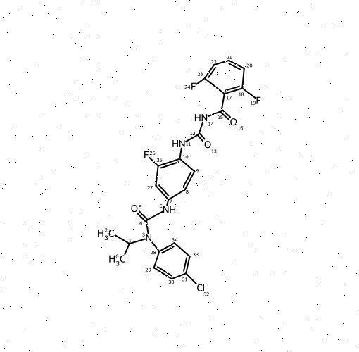 CC(C)N(C(=O)Nc1ccc(NC(=O)NC(=O)c2c(F)cccc2F)c(F)c1)c1ccc(Cl)cc1